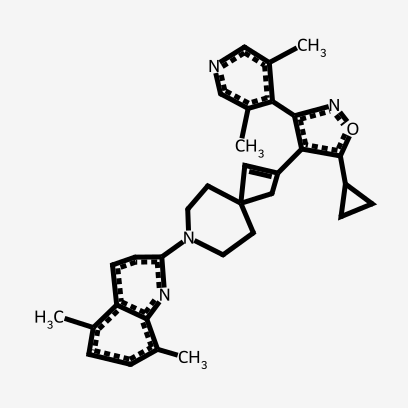 Cc1cncc(C)c1-c1noc(C2CC2)c1C1=CC2(CCN(c3ccc4c(C)ccc(C)c4n3)CC2)C1